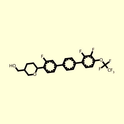 OCC1CCC(c2ccc(-c3ccc(-c4ccc(OC(F)(F)C(F)(F)F)c(F)c4F)cc3)cc2F)OC1